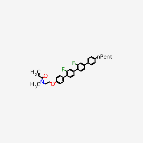 C=CC(=O)N(C)CCOc1ccc(-c2ccc(-c3ccc(-c4ccc(CCCCC)cc4)cc3F)cc2F)cc1